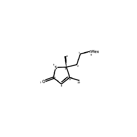 CCCCCCCC[C@@]1(C)SC(=O)C=C1C